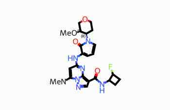 CNc1cc(Nc2cccn([C@@H]3CCOC[C@@H]3OC)c2=O)nc2c(C(=O)NC3CCC3F)cnn12